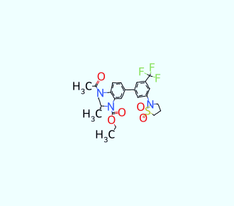 CCOC(=O)N1c2cc(-c3cc(N4CCCS4(=O)=O)cc(C(F)(F)F)c3)ccc2N(C(C)=O)C[C@@H]1C